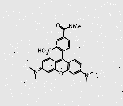 CNC(=O)c1ccc(-c2c3ccc(=[N+](C)C)cc-3oc3cc(N(C)C)ccc23)c(C(=O)O)c1